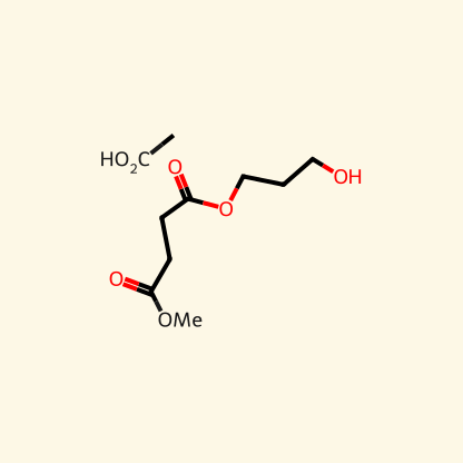 CC(=O)O.COC(=O)CCC(=O)OCCCO